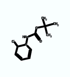 CC(C)(C)OC(=O)[AsH]N1C=CC=CC1Cl